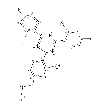 Cc1ccc(-c2nc(-c3ccc(C)cc3O)nc(-c3ccc(CCO)cc3O)n2)c(O)c1